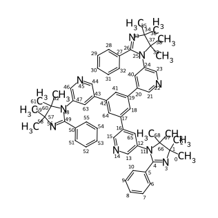 CC1(C)N=C(c2ccccc2)N(c2cncc(-c3cc(-c4cncc(N5C(c6ccccc6)=NC(C)(C)C5(C)C)c4)cc(-c4cncc(N5C(c6ccccc6)=NC(C)(C)C5(C)C)c4)c3)c2)C1(C)C